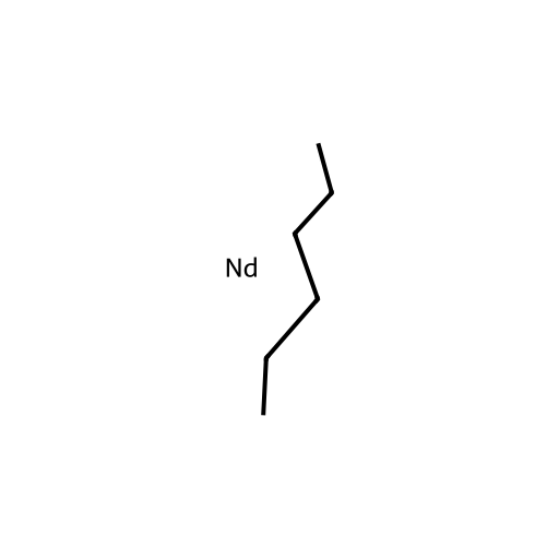 CCCCCC.[Nd]